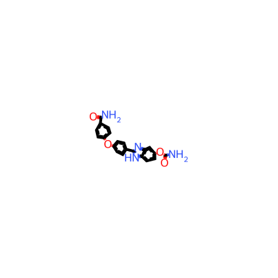 NC(=O)Oc1ccc2[nH]c(-c3ccc(Oc4ccc(C(N)=O)cc4)cc3)nc2c1